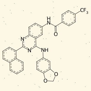 O=C(Nc1ccc2nc(-c3cccc4ccccc34)nc(Nc3ccc4c(c3)OCO4)c2c1)c1ccc(C(F)(F)F)cc1